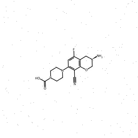 N#Cc1c(N2CCN(C(=O)O)CC2)cc(F)c2c1OC[C@H](N)C2